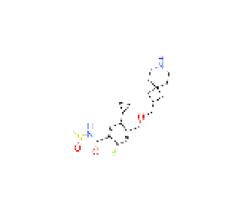 C[S+]([O-])NC(=O)c1cc(C2CC2)c(COCC2CC3(CCNCC3)C2)cc1F